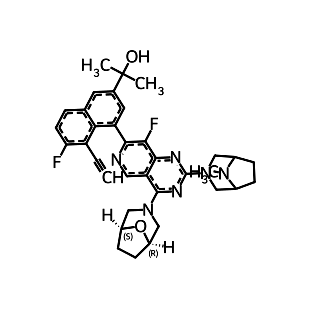 C#Cc1c(F)ccc2cc(C(C)(C)O)cc(-c3ncc4c(N5C[C@H]6CC[C@@H](C5)O6)nc(N5CC6CCC(C5)N6C)nc4c3F)c12